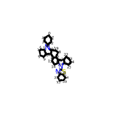 c1ccc(-n2c3ccccc3c3c4ccc5c(c4ccc32)c2ccccc2n5-c2nc3ccccc3s2)cc1